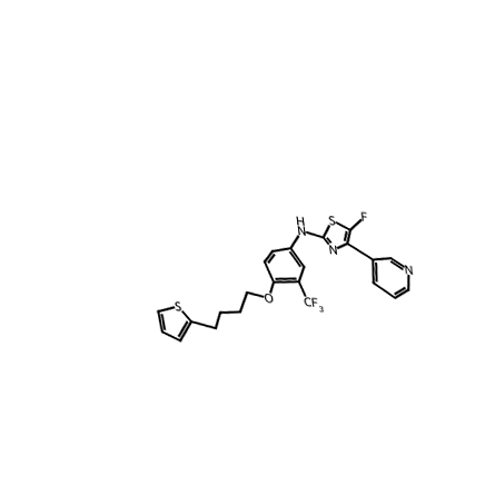 Fc1sc(Nc2ccc(OCCCCc3cccs3)c(C(F)(F)F)c2)nc1-c1cccnc1